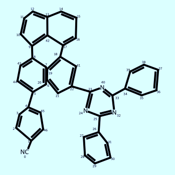 N#Cc1ccc(-c2ccc(-c3cccc4cccc(-c5cccc(-c6nc(-c7ccccc7)nc(-c7ccccc7)n6)c5)c34)cc2)cc1